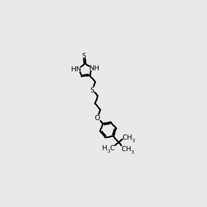 CC(C)(C)c1ccc(OCCCSCc2c[nH]c(=S)[nH]2)cc1